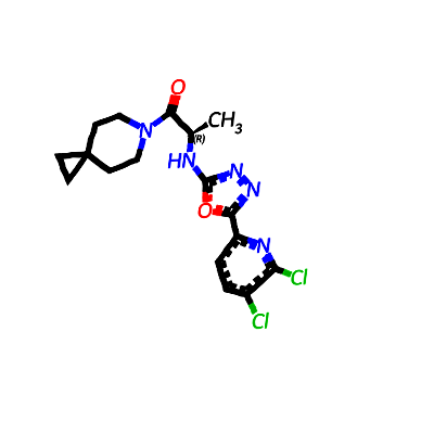 C[C@@H](Nc1nnc(-c2ccc(Cl)c(Cl)n2)o1)C(=O)N1CCC2(CC1)CC2